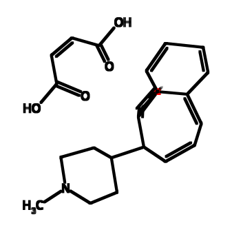 CN1CCC(C2C=CC=C3C=CC=CC34CC=CC=C24)CC1.O=C(O)/C=C\C(=O)O